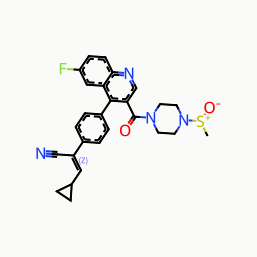 C[S+]([O-])N1CCN(C(=O)c2cnc3ccc(F)cc3c2-c2ccc(/C(C#N)=C/C3CC3)cc2)CC1